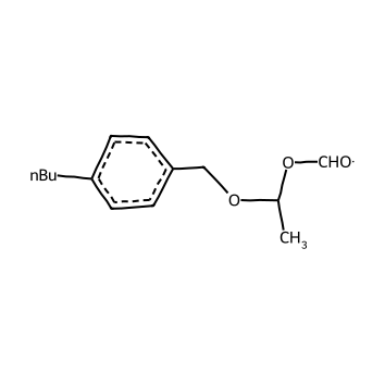 CCCCc1ccc(COC(C)O[C]=O)cc1